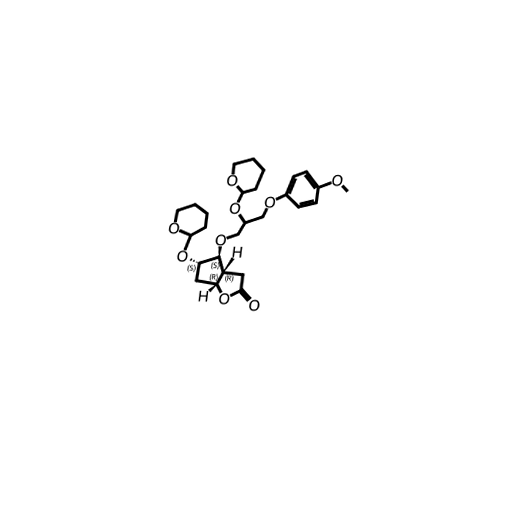 COc1ccc(OCC(CO[C@H]2[C@@H]3CC(=O)O[C@@H]3C[C@@H]2OC2CCCCO2)OC2CCCCO2)cc1